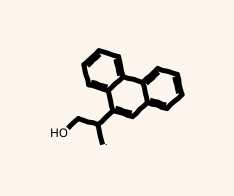 [CH2]C(CO)c1cc2ccccc2c2ccccc12